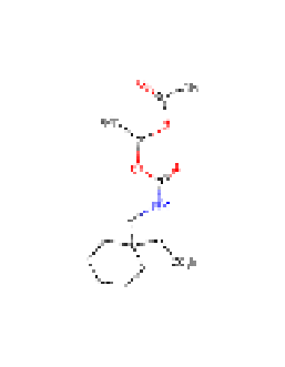 CC(C)C(=O)OC(OC(=O)NCC1(CC(=O)O)CCCCC1)C(C)C